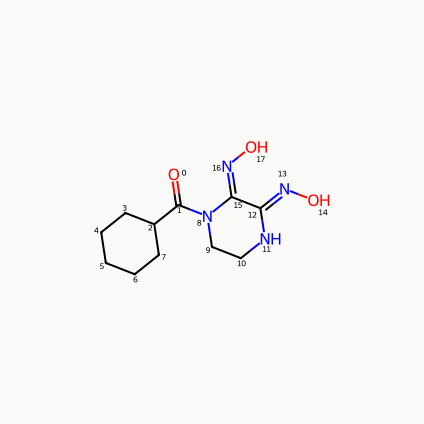 O=C(C1CCCCC1)N1CCNC(=NO)C1=NO